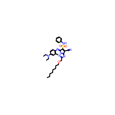 CCCCCCCCOCc1nc2n(n1)/C(=N\c1ccc(N(CC)CC)cc1C)C(S(=O)(=O)Nc1ccccc1)=C2C#N